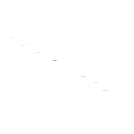 CCCCCCCCOCOC(OC)=C(CCCCC)OC